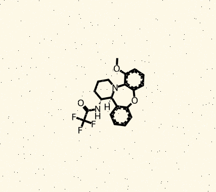 COc1cccc2c1N1CCC[C@@H](NC(=O)C(F)(F)F)[C@@H]1c1ccccc1O2